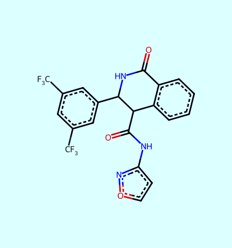 O=C1NC(c2cc(C(F)(F)F)cc(C(F)(F)F)c2)C(C(=O)Nc2ccon2)c2ccccc21